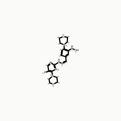 ONc1cc(/C=N\Nc2ncc(F)c(N3CCOCC3)n2)ccc1N1CCOCC1